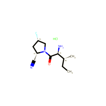 CC[C@@H](C)[C@H](N)C(=O)N1C[C@@H](F)C[C@H]1C#N.Cl